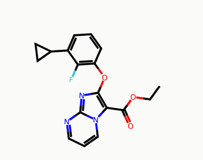 CCOC(=O)c1c(Oc2cccc(C3CC3)c2F)nc2ncccn12